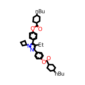 CCCCC1CCC(C(=O)Oc2ccc(-c3nn(C4CCC4)c(-c4ccc(OC(=O)C5CCC(CCCC)CC5)cc4)c3CC)cc2)CC1